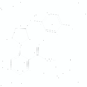 CNC(=O)c1ccccc1N1CCC(Oc2ccc(C(F)(F)F)cn2)C1